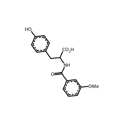 COc1cccc(C(=O)NC(Cc2ccc(O)cc2)C(=O)O)c1